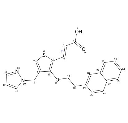 O=C(O)/C=C/c1scc(Cn2cccn2)c1OCCc1ccc2ccccc2c1